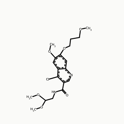 COCCCOc1cc2ncc(C(=O)NCC(OC)OC)c(Cl)c2cc1OC